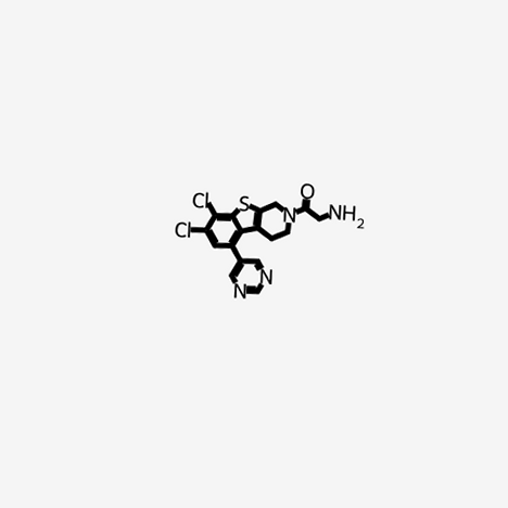 NCC(=O)N1CCc2c(sc3c(Cl)c(Cl)cc(-c4cncnc4)c23)C1